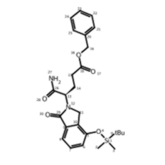 CC(C)(C)[Si](C)(C)Oc1cccc2c1CN([C@H](CCC(=O)OCc1ccccc1)C(N)=O)C2=O